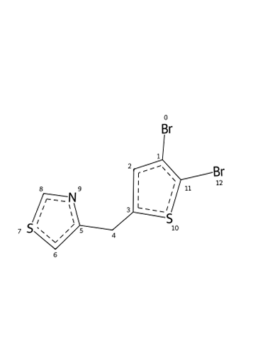 Brc1cc(Cc2cscn2)sc1Br